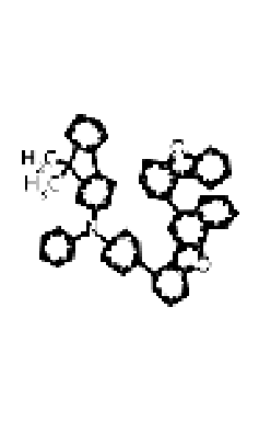 CC1(C)c2ccccc2-c2ccc(N(c3ccccc3)c3ccc(-c4cccc5oc6c7ccccc7c(-c7cccc8oc9ccccc9c78)cc6c45)cc3)cc21